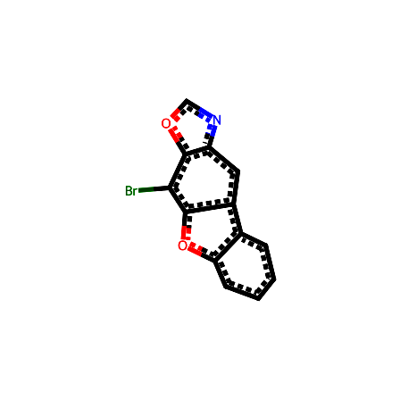 Brc1c2ocnc2cc2c1oc1ccccc12